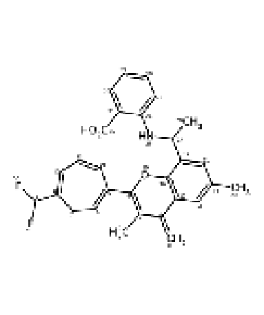 C=C1C(C)=C(C2=CCC(C(F)F)=CC=C2)Oc2c1cc(C)cc2C(C)Nc1ccccc1C(=O)O